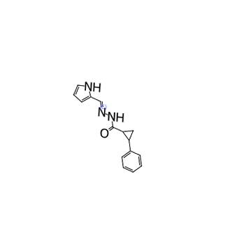 O=C(N/N=C/c1ccc[nH]1)C1CC1c1ccccc1